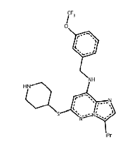 CC(C)c1cnc2c(NCc3cccc(OC(F)(F)F)c3)cc(SC3CCNCC3)nn12